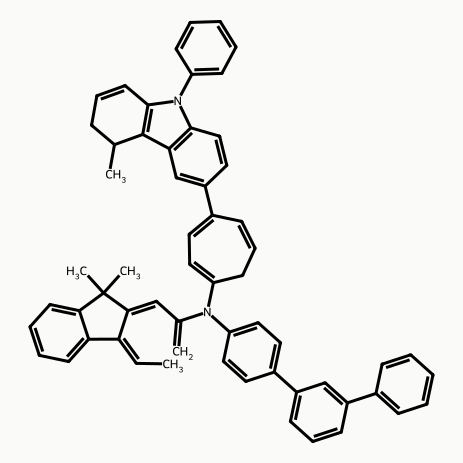 C=C(/C=C1\C(=C/C)c2ccccc2C1(C)C)N(C1=CC=C(c2ccc3c(c2)c2c(n3-c3ccccc3)C=CCC2C)C=CC1)c1ccc(-c2cccc(-c3ccccc3)c2)cc1